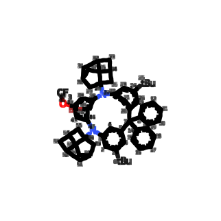 CC(C)(C)c1cc2cc(c1)C(c1ccccc1)(c1ccccc1)c1cc(cc(C(C)(C)C)c1)N(C13CC4CC5CC(C1)C53C4)c1cc(OC(F)(F)F)cc(c1Br)N2C12CC3CC4CC(C1)C42C3